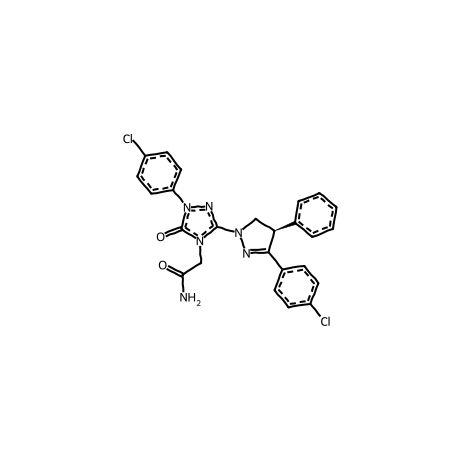 NC(=O)Cn1c(N2C[C@@H](c3ccccc3)C(c3ccc(Cl)cc3)=N2)nn(-c2ccc(Cl)cc2)c1=O